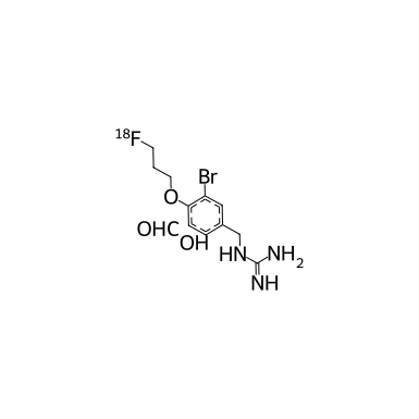 N=C(N)NCc1ccc(OCCC[18F])c(Br)c1.O=CO